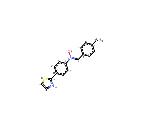 Cc1ccc(C=[N+]([O-])c2ccc(-c3nccs3)cc2)cc1